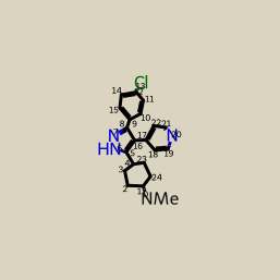 CNC1CCC(c2[nH]nc(-c3ccc(Cl)cc3)c2-c2ccncc2)CC1